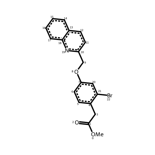 COC(=O)Cc1ccc(OCc2ccc3ccccc3n2)cc1Br